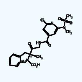 CN(c1cc(C(=O)NCC(=O)[C@@](C)(Cc2ccccc2)N(C(=O)O)C(C)(C)C)cc(Cl)n1)S(C)(=O)=O